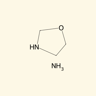 C1COCN1.N